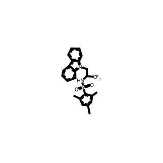 Cc1cc(C)c(S(=O)(=O)NC(Cn2c3ccccc3c3ccccc32)C(F)(F)F)c(C)c1